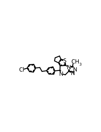 Cc1nnc2n1-c1sc3c(c1C(c1ccc(CCc4ccc(Cl)cc4)cc1)=NC2)CCC3